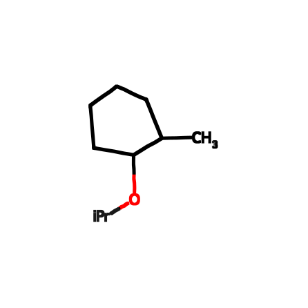 CC(C)OC1CCCCC1C